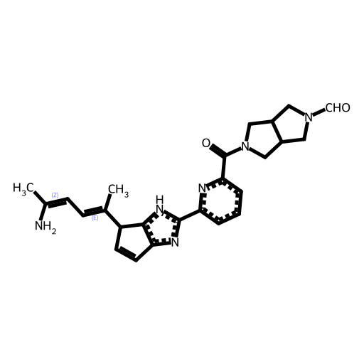 C/C(N)=C/C=C(\C)C1C=Cc2nc(-c3cccc(C(=O)N4CC5CN(C=O)CC5C4)n3)[nH]c21